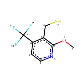 COc1nccc(C(F)(F)F)c1CS